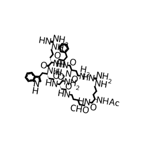 CC(=O)N[C@@H](CCCNC(=N)N)C(=O)N[C@H](C=O)CCCCNC(=O)C[C@H](NC(=O)C[C@H](Cc1c[nH]c2ccccc12)NC(=O)[C@H](CCCNC(=N)N)NC(=O)C(Cc1ccccc1)NC(=O)[C@@H](N)CC(N)=O)C(N)=O